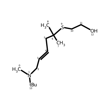 CN(C/C=C/CC(C)(C)SCCO)C(C)(C)C